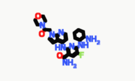 NC(=O)c1cc(F)c(NC2CCCC[C@@H]2N)nc1Nc1ccnc2c1ccn2CC(=O)N1CCOCC1